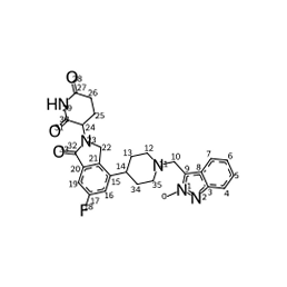 Cn1nc2ccccc2c1CN1CCC(c2cc(F)cc3c2CN(C2CCC(=O)NC2=O)C3=O)CC1